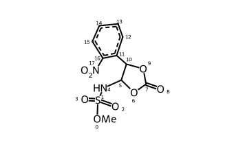 COS(=O)(=O)NC1OC(=O)OC1c1ccccc1[N+](=O)[O-]